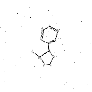 CC(C)C1CCOC1c1cccnc1